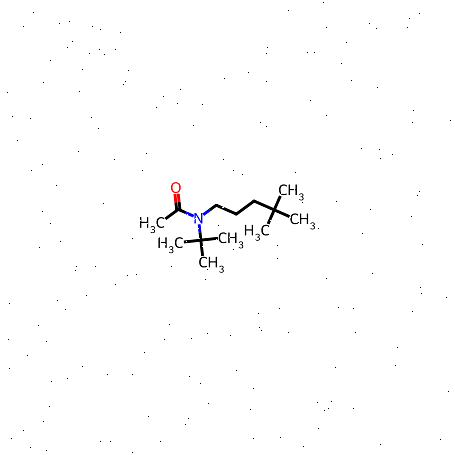 CC(=O)N(CCCC(C)(C)C)C(C)(C)C